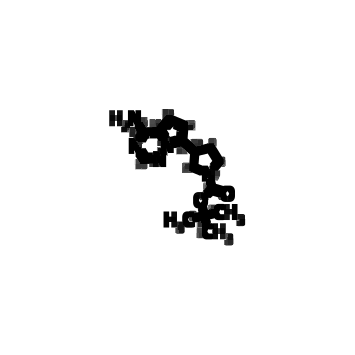 CC(C)(C)OC(=O)N1CCC(c2ccc3c(N)ncnn23)C1